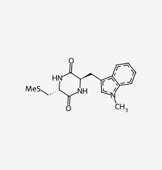 CSC[C@@H]1NC(=O)[C@@H](Cc2cn(C)c3ccccc23)NC1=O